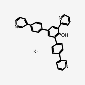 Oc1c(-c2ccc(-c3cccnc3)cc2)cc(-c2ccc(-c3cccnc3)cc2)cc1-c1ccccn1.[K]